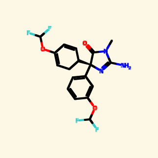 CN1C(=O)[C@](c2cccc(OC(F)F)c2)(C2C=CC(OC(F)F)=CC2)N=C1N